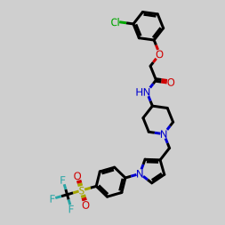 O=C(COc1cccc(Cl)c1)NC1CCN(Cc2ccn(-c3ccc(S(=O)(=O)C(F)(F)F)cc3)c2)CC1